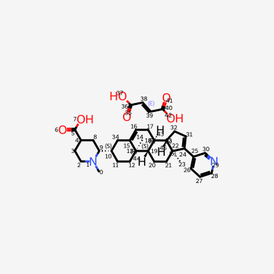 CN1CCC(C(=O)O)CC1[C@H]1CC[C@@]2(C)C(=CC[C@@H]3[C@@H]2CC[C@]2(C)C(c4cccnc4)=CC[C@@H]32)C1.O=C(O)/C=C/C(=O)O